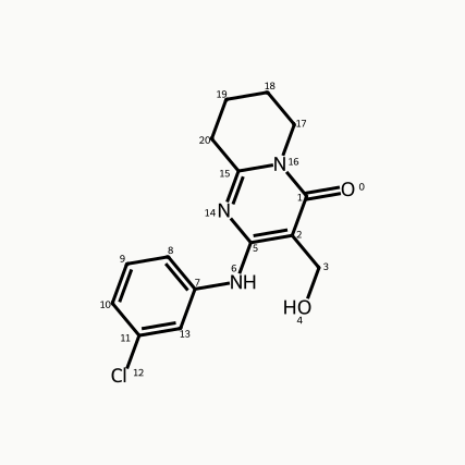 O=c1c(CO)c(Nc2cccc(Cl)c2)nc2n1CCCC2